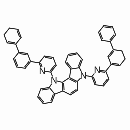 C1=CC(c2cccc(-c3cccc(-n4c5ccccc5c5ccc6c(c7ccccc7n6-c6cccc(C7=CCCC(c8ccccc8)=C7)n6)c54)n3)c2)=CCC1